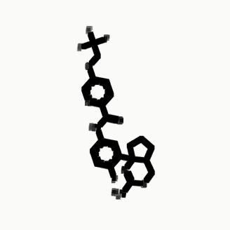 NC1=NC2(c3cc(NC(=O)c4ccc(OCC(F)(F)F)cn4)ccc3F)CCCC2CS1